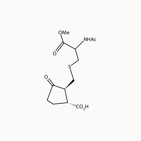 COC(=O)C(CSC[C@@H]1C(=O)CC[C@H]1C(=O)O)NC(C)=O